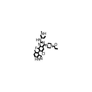 C=CC(=O)N1CCN(c2nc(N/C(C=C)=C/NC)nc3c(F)c(-c4c(C)ccc5[nH]ncc45)c(Cl)cc23)CC1